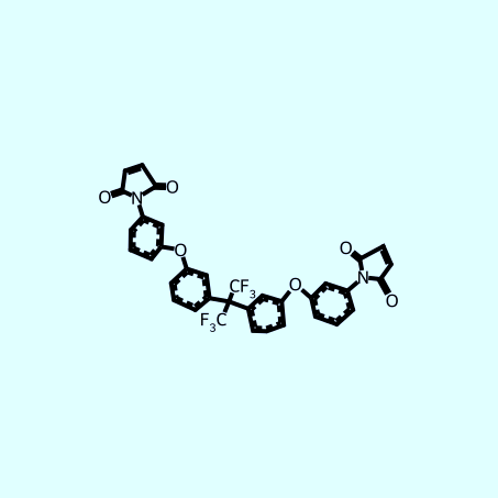 O=C1C=CC(=O)N1c1cccc(Oc2cccc(C(c3cccc(Oc4cccc(N5C(=O)C=CC5=O)c4)c3)(C(F)(F)F)C(F)(F)F)c2)c1